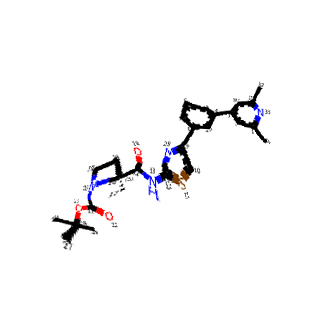 Cc1cc(-c2cccc(-c3csc(NC(=O)[C@]4(C)CCN4C(=O)OC(C)(C)C)n3)c2)cc(C)n1